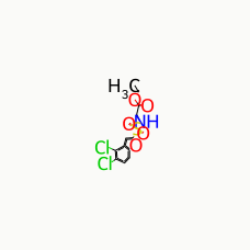 CCOC(=O)CNS(=O)(=O)c1cc2c(Cl)c(Cl)ccc2o1